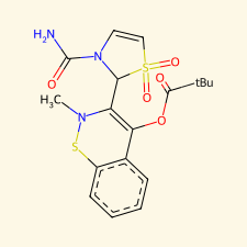 CN1Sc2ccccc2C(OC(=O)C(C)(C)C)=C1C1N(C(N)=O)C=CS1(=O)=O